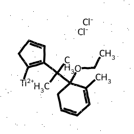 CCOC1(C(C)(C)C2=[C]([Ti+2])CC=C2)CC=CC=C1C.[Cl-].[Cl-]